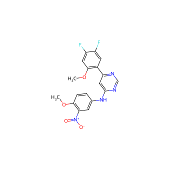 COc1cc(F)c(F)cc1-c1cc(Nc2ccc(OC)c([N+](=O)[O-])c2)ncn1